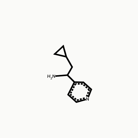 NC(CC1CC1)c1ccncc1